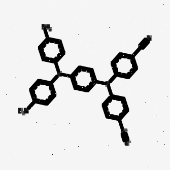 [C-]#[N+]c1ccc(N(c2ccc(C#N)cc2)c2ccc(N(c3ccc(N)cc3)c3ccc(N)cc3)cc2)cc1